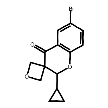 O=C1c2cc(Br)ccc2OC(C2CC2)C12COC2